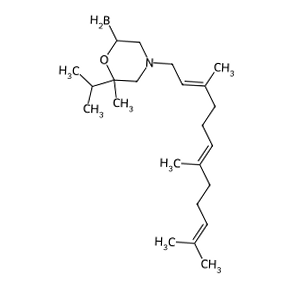 BC1CN(C/C=C(\C)CC/C=C(\C)CCC=C(C)C)CC(C)(C(C)C)O1